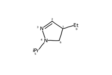 CCC1C=NN(C(C)C)C1